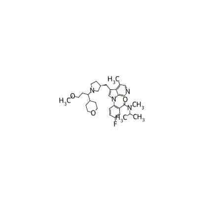 COCCC(C1CCOCC1)N1CC[C@@H](Cc2cn(-c3ccc(F)cc3C(=O)N(C)C(C)C)c3cncc(C)c23)C1